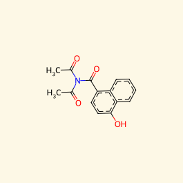 CC(=O)N(C(C)=O)C(=O)c1ccc(O)c2ccccc12